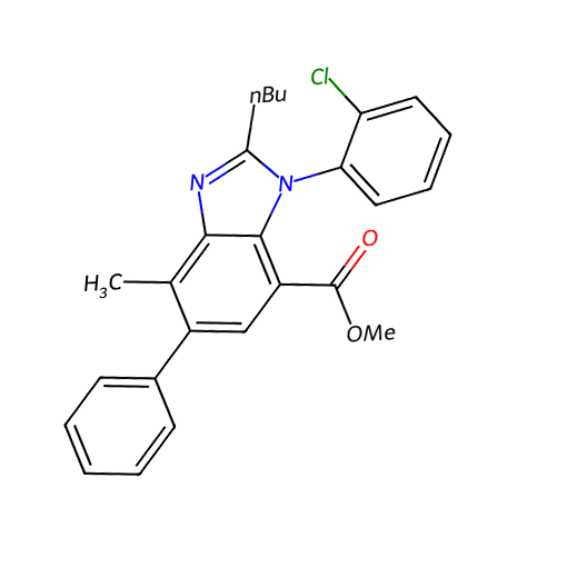 CCCCc1nc2c(C)c(-c3ccccc3)cc(C(=O)OC)c2n1-c1ccccc1Cl